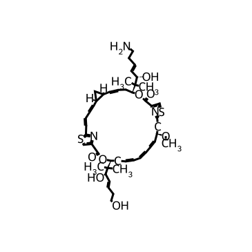 CO[C@H]1/C=C/C=C\C=C/C[C@@H](C(C)(C)[C@@H](O)/C=C/CCO)OC(=O)c2csc(n2)/C=C\C=C\[C@@H]2C[C@@H]2/C=C\C[C@@H](C(C)(C)[C@@H](O)/C=C/CCN)OC(=O)c2csc(n2)C1